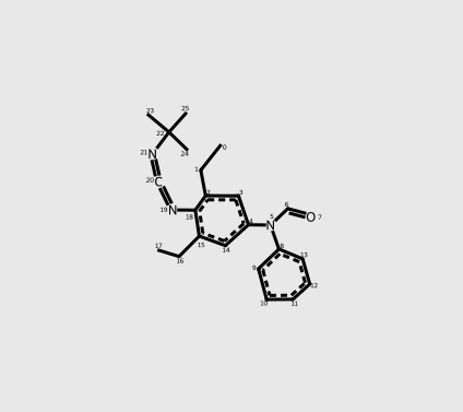 CCc1cc(N(C=O)c2ccccc2)cc(CC)c1N=C=NC(C)(C)C